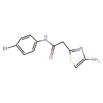 CCc1ccc(NC(=O)Cc2nc(N)cs2)cc1